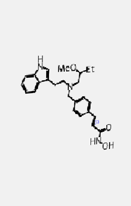 CCC(CN(CCc1c[nH]c2ccccc12)Cc1ccc(/C=C/C(=O)NO)cc1)OC